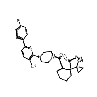 N#Cc1ccc(-c2ccc(F)cc2)nc1N1CCN(C(=O)C2CCCCC2(C(N)=O)C2(C#N)CC2)CC1